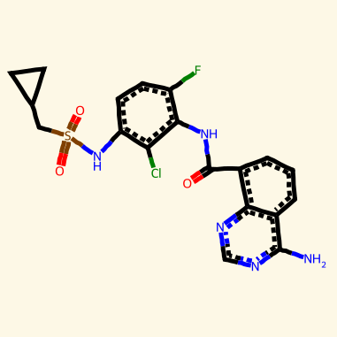 Nc1ncnc2c(C(=O)Nc3c(F)ccc(NS(=O)(=O)CC4CC4)c3Cl)cccc12